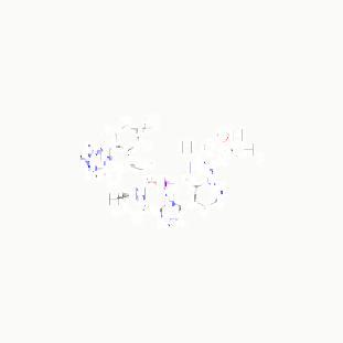 CC(C)(O)CNc1nccc(-c2cnc([C@@H]3CC[C@@H]4CCC(c5cc(Cl)ccc5-n5cnnn5)=CC(=O)N43)[nH]2)c1F